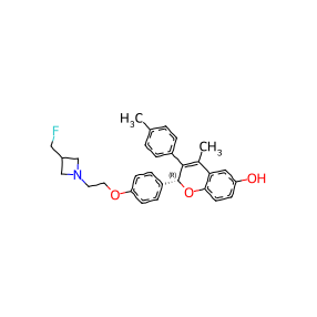 CC1=C(c2ccc(C)cc2)[C@@H](c2ccc(OCCN3CC(CF)C3)cc2)Oc2ccc(O)cc21